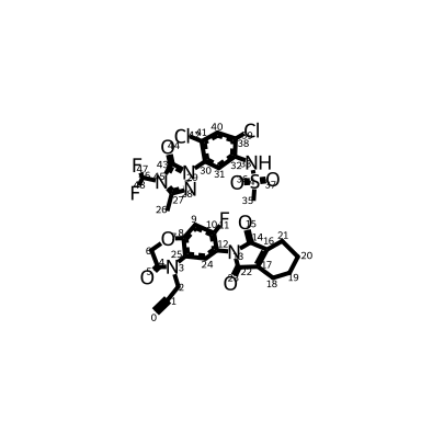 C#CCN1C(=O)COc2cc(F)c(N3C(=O)C4=C(CCCC4)C3=O)cc21.Cc1nn(-c2cc(NS(C)(=O)=O)c(Cl)cc2Cl)c(=O)n1C(F)F